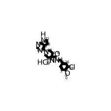 COc1ccc(CNC(=O)C2(N)CCN(c3ncnc4[nH]ccc34)CC2)cc1Cl.Cl